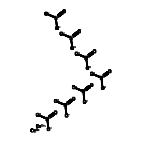 O=[N+]([O-])[O-].O=[N+]([O-])[O-].O=[N+]([O-])[O-].O=[N+]([O-])[O-].O=[N+]([O-])[O-].O=[N+]([O-])[O-].O=[N+]([O-])[O-].[Ce+3].[Ce+4]